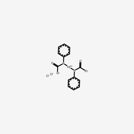 CCC(=O)[N]([Hf+2][N](C(=O)CC)c1ccccc1)c1ccccc1.[Cl-].[Cl-]